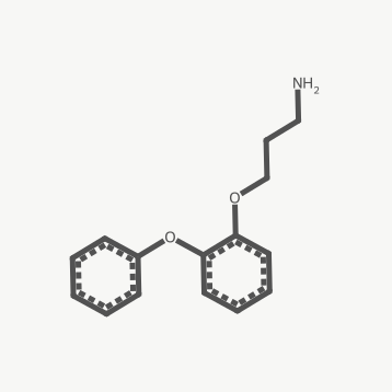 NCCCOc1ccccc1Oc1ccccc1